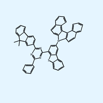 CC1(C)c2ccccc2-c2ccc(-c3nc(-c4ccccc4)nc(-c4cc(-n5c6ccc7ccccc7c6c6c7ccccc7ccc65)cc5c4sc4ccccc45)n3)cc21